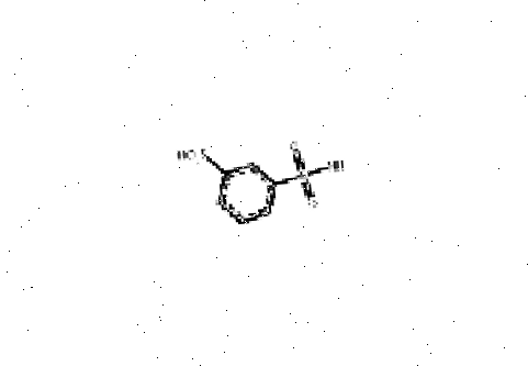 [NH]S(=O)(=O)c1cccc(S(=O)(=O)O)c1